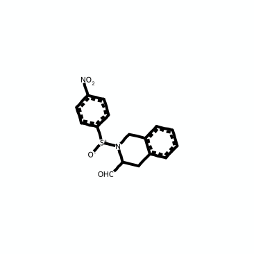 O=CC1Cc2ccccc2CN1[S+]([O-])c1ccc([N+](=O)[O-])cc1